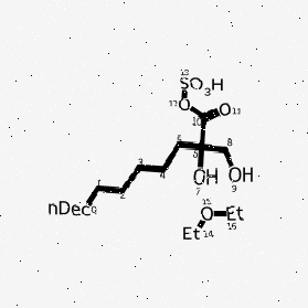 CCCCCCCCCCCCCCCC(O)(CO)C(=O)OS(=O)(=O)O.CCOCC